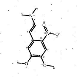 COc1cc(C=CN(C)C)c([N+](=O)[O-])cc1OC